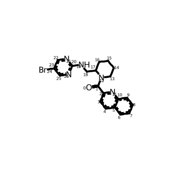 O=C(c1ccc2ccccc2n1)N1CCCCC1CNc1ncc(Br)cn1